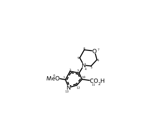 COc1cc(N2CCOCC2)c(C(=O)O)cn1